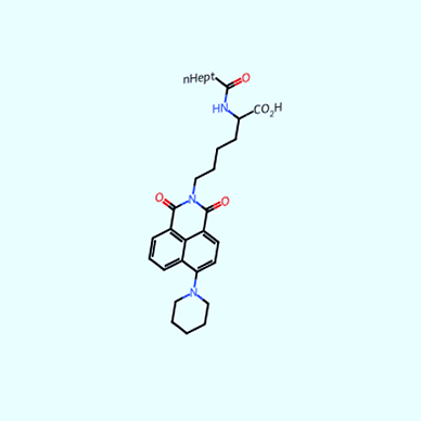 CCCCCCCC(=O)NC(CCCCN1C(=O)c2cccc3c(N4CCCCC4)ccc(c23)C1=O)C(=O)O